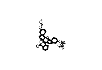 COCOc1ccc2c3c(ccc2c1)C1(OC(=O)c2ccccc21)c1ccc2cc(OS(=O)(=O)C(F)(F)F)ccc2c1O3